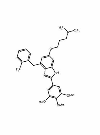 COc1cc(-c2nc3c(Cc4ccccc4C(F)(F)F)cc(OCCCN(C)C)cc3[nH]2)cc(OC)c1OC